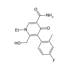 CCn1cc(C(N)=O)c(=O)c(-c2ccc(F)cc2C)c1CO